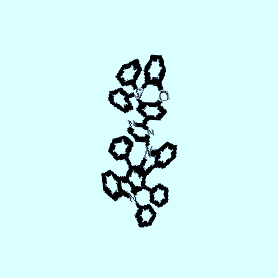 c1ccc(-c2c3c4ccccc4n(-c4ccnc(-c5ccc6c(c5)[Si](c5ccccc5)(c5ccccc5)c5ccccc5O6)n4)c3c(-c3ccccc3)c3c4ccccc4n(-c4ccccc4)c23)cc1